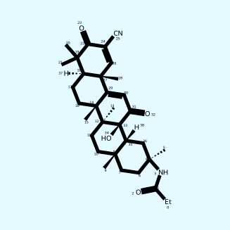 CCC(=O)N[C@@]1(C)CC[C@]2(C)CC[C@@]3(C)[C@]4(C)CC[C@H]5C(C)(C)C(=O)C(C#N)=C[C@]5(C)C4=CC(=O)[C@]3(O)[C@@H]2C1